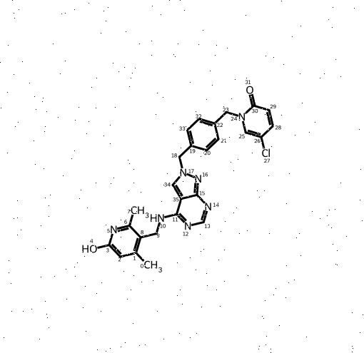 Cc1cc(O)nc(C)c1CNc1ncnc2nn(Cc3ccc(Cn4cc(Cl)ccc4=O)cc3)cc12